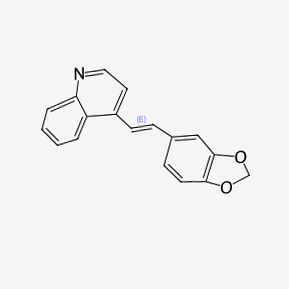 C(=C\c1ccnc2ccccc12)/c1ccc2c(c1)OCO2